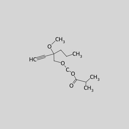 C#CC(CCC)(COCOC(=O)C(C)C)OC